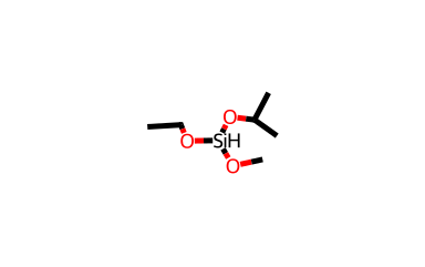 CCO[SiH](OC)OC(C)C